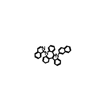 C1=CC2=C(CC1)c1c(n(-c3ccc4ccccc4c3)c3ccccc13)-c1ccccc1N2c1nccc2ccccc12